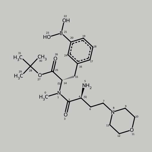 CN(C(=O)[C@@H](N)CCN1CCOCC1)[C@@H](Cc1cccc(B(O)O)c1)C(=O)OC(C)(C)C